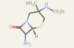 CCOC(=O)NC1(C(=O)O)CS[C@@H]2C(N)C(=O)N2C1